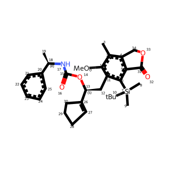 COc1c(C)c2c(c([Si](C)(C)C(C)(C)C)c1C[C@H](OC(=O)N[C@H](C)c1ccccc1)C1=CCCC1)C(=O)OC2